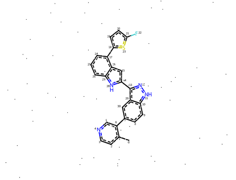 Cc1ccncc1-c1ccc2[nH]nc(-c3cc4c(-c5ccc(F)s5)cccc4[nH]3)c2c1